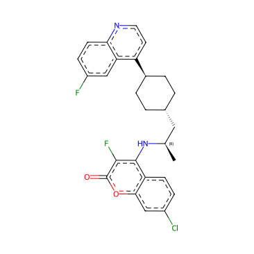 C[C@H](C[C@H]1CC[C@H](c2ccnc3ccc(F)cc32)CC1)Nc1c(F)c(=O)oc2cc(Cl)ccc12